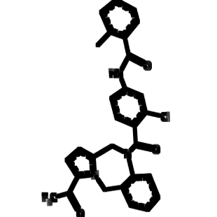 Cc1ccccc1C(=O)Nc1ccc(C(=O)N2Cc3ccc(C(=O)C(F)(F)F)n3Cc3ccccc32)c(Cl)c1